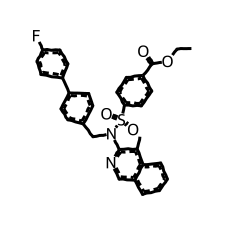 CCOC(=O)c1ccc(S(=O)(=O)N(Cc2ccc(-c3ccc(F)cc3)cc2)c2ncc3ccccc3c2C)cc1